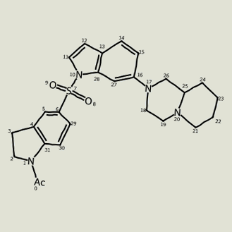 CC(=O)N1CCc2cc(S(=O)(=O)n3ccc4ccc(N5CCN6CCCCC6C5)cc43)ccc21